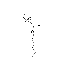 CCCCCCOC(=O)C1OC1(C)CC